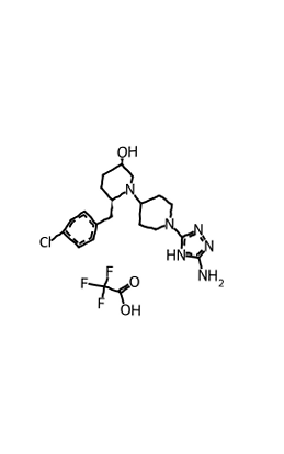 Nc1nnc(N2CCC(N3C[C@H](O)CC[C@@H]3Cc3ccc(Cl)cc3)CC2)[nH]1.O=C(O)C(F)(F)F